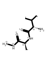 CC(C)[C@H](N)C(=O)N[C@@H](C)C(=O)NN